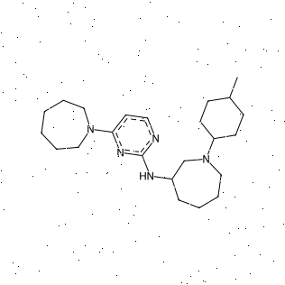 CC1CCC(N2CCCCC(Nc3nccc(N4CCCCCC4)n3)C2)CC1